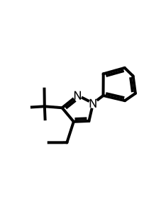 CCc1cn(-c2ccccc2)nc1C(C)(C)C